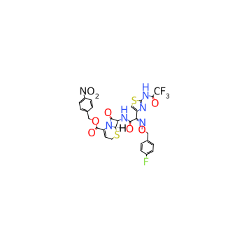 O=C(OCc1ccc([N+](=O)[O-])cc1)C1=CCS[C@@H]2C(NC(=O)/C(=N\OCc3ccc(F)cc3)c3csc(NC(=O)C(F)(F)F)n3)C(=O)N12